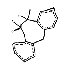 FC1(F)c2ccccc2Cc2ccccc2C1(F)F